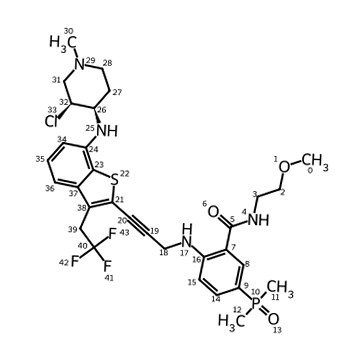 COCCNC(=O)c1cc(P(C)(C)=O)ccc1NCC#Cc1sc2c(N[C@@H]3CCN(C)C[C@@H]3Cl)cccc2c1CC(F)(F)F